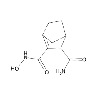 NC(=O)C1C(C(=O)NO)=C2CCC1C2